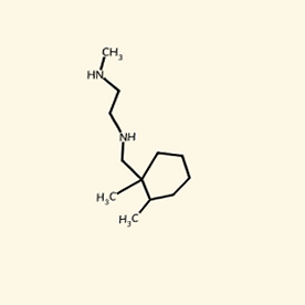 CNCCNCC1(C)CCCCC1C